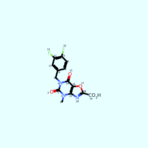 Cn1c(=O)n(Cc2ccc(F)c(F)c2)c(=O)c2oc(C(=O)O)nc21